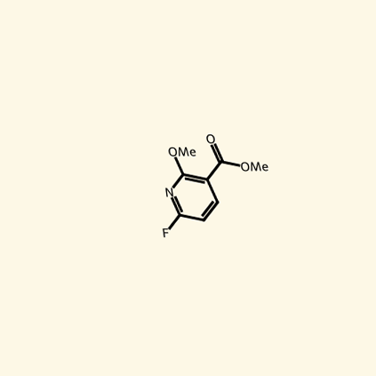 COC(=O)c1ccc(F)nc1OC